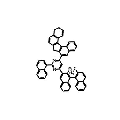 Cc1ccc2ccccc2c1-c1c(C)c(-c2cc(-c3cc4ccccc4c4c3Cc3ccc5c(c3-4)C=CCC5)nc(-c3cccc4ccccc34)n2)cc2ccccc12